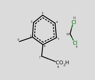 Cc1ccccc1CC(=O)O.ClCCl